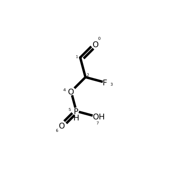 O=CC(F)O[PH](=O)O